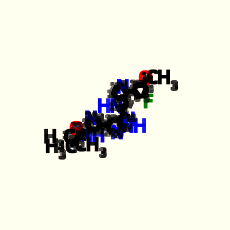 COc1cc(F)cc(-c2nccc3[nH]c(-c4n[nH]c5ncc(-c6cncc(NC(=O)C(C)(C)C)c6)cc45)cc23)c1